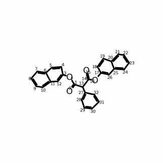 O=C(Oc1ccc2ccccc2c1)C(C(=O)Oc1ccc2ccccc2c1)c1ccccc1